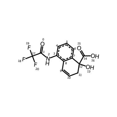 O=C(Nc1cccc2c1C=CCC2(O)C(=O)O)C(F)(F)F